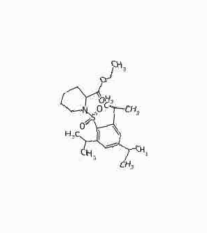 CCOC(=O)C1CCCCN1S(=O)(=O)c1c(C(C)C)cc(C(C)C)cc1C(C)C